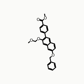 COCOc1cc2cc(OCc3ccccc3)ccc2cc1-c1ccc(C(=O)OC)cc1